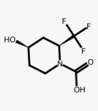 O=C(O)N1CC[C@@H](O)C[C@H]1C(F)(F)F